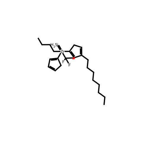 CCCCCCCCC1=CC[C]([Zr](=[SiH2])([CH2]CCC)([C]2=CC=CC2)[C](F)(F)F)=C1